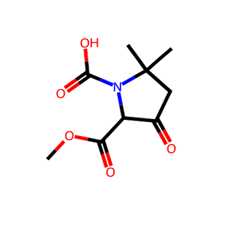 COC(=O)C1C(=O)CC(C)(C)N1C(=O)O